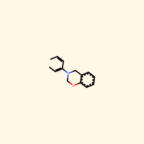 C/C=C\C(=C/C)N1COc2ccccc2C1